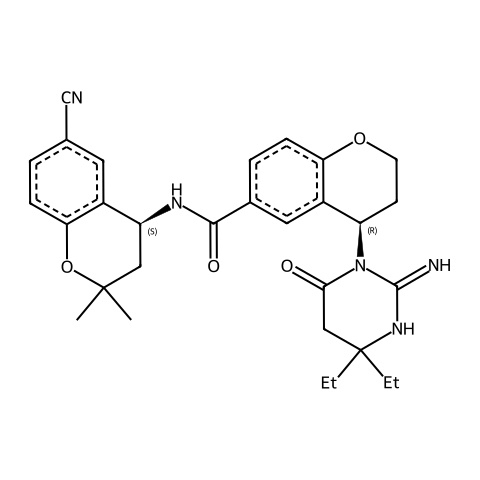 CCC1(CC)CC(=O)N([C@@H]2CCOc3ccc(C(=O)N[C@H]4CC(C)(C)Oc5ccc(C#N)cc54)cc32)C(=N)N1